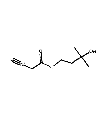 [C-]#[N+]CC(=O)OCCC(C)(C)O